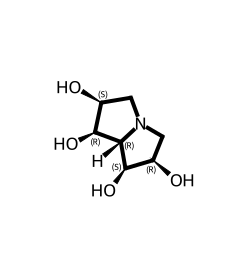 O[C@@H]1[C@H]2[C@H](O)[C@H](O)CN2C[C@@H]1O